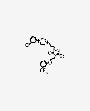 CCc1nn(CCCN2CCN(c3cccc(Cl)c3)CC2)c(=O)n1CCOc1cccc(C(F)(F)F)c1